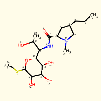 CCC[C@@H]1C[C@@H](C(=O)N[C@@H]([C@H]2OC(SC)C(O)C(O)[C@@H]2O)[C@@H](C)O)N(C)C1